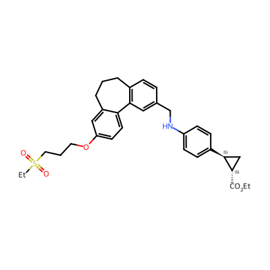 CCOC(=O)[C@H]1C[C@@H]1c1ccc(NCc2ccc3c(c2)-c2ccc(OCCCS(=O)(=O)CC)cc2CCC3)cc1